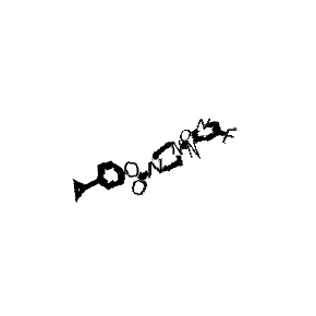 O=C(Oc1ccc(C2CC2)cc1)N1CCN(c2nc3cc(F)cnc3o2)CC1